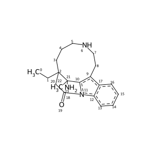 CCC12CCCNCCc3c(n(c4ccccc34)C(=O)C1)C2(C)N